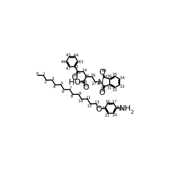 CCCCCCCCCCCCCCOc1ccc(N)cc1.O=C(CC(CCN1C(=O)c2ccccc2C1=O)C(=O)O)c1ccccc1